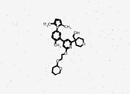 Cc1ccc(-n2c(C)ccc2C)cc1-c1cc(OCCOC2CCCCO2)nc(C2(CO)CCOCC2)c1